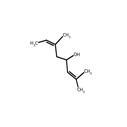 [CH2]C=C(C)CC(O)C=C(C)C